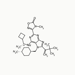 C=C(c1nc2nc(-c3noc(=O)n3C)nc(N[C@H](C)C3CCC3)c2n1C[C@H]1CC[C@H](C)CC1)C(C)(C)C